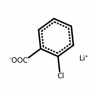 O=C([O-])c1ccccc1Cl.[Li+]